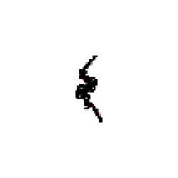 CCCCCCCCc1csc(-c2ccc(C3=c4cc5c(cc4OC3=O)=C(c3ccc(-c4cc(CCCCCCCC)cs4)cc3)C(=O)O5)cc2)c1